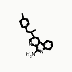 Cc1ccc(CC(C)c2cnc3c(N)nc4ccccc4c3c2)cc1